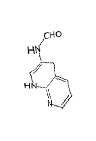 O=CNC1=CNc2ncccc2C1